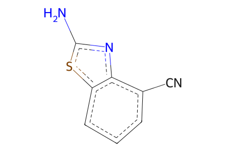 N#Cc1cccc2sc(N)nc12